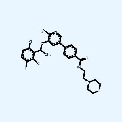 CC(Oc1cc(-c2ccc(C(=O)NCCN3CCOCC3)cc2)cnc1N)c1c(Cl)ccc(F)c1Cl